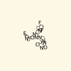 CN(C)C(=O)c1nn2c(c1Cl)CN(c1nc(OC[C@@]34CCCN3C[C@H](F)C4)nc3c1CN(C)[C@@]1(CCc4c(F)ccc(F)c41)C3)CCC2